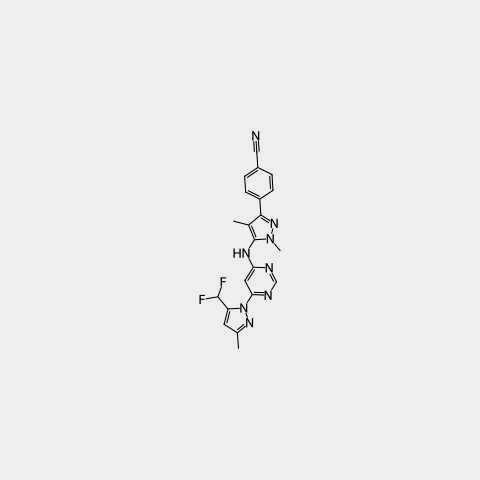 Cc1cc(C(F)F)n(-c2cc(Nc3c(C)c(-c4ccc(C#N)cc4)nn3C)ncn2)n1